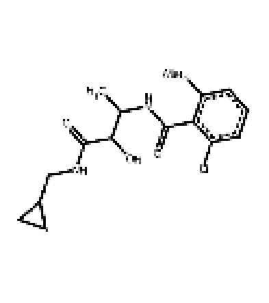 COc1cccc(Cl)c1C(=O)NC(C)C(O)C(=O)NCC1CC1